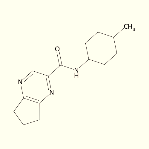 CC1CCC(NC(=O)c2cnc3c(n2)CCC3)CC1